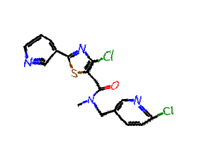 CN(Cc1ccc(Cl)nc1)C(=O)c1sc(-c2cccnc2)nc1Cl